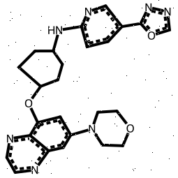 c1cnc2c(OC3CCC(Nc4ccc(-c5nnco5)cn4)CC3)cc(N3CCOCC3)cc2n1